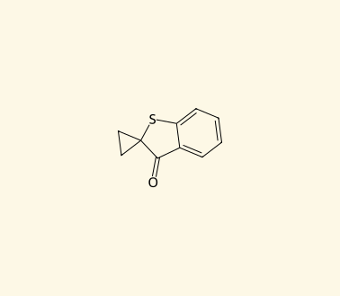 O=C1c2ccccc2SC12CC2